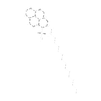 CCCCCCCCCCCCCCCCc1cc2ccc3cccc4ccc(c1S(N)(=O)=O)c2c34